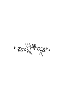 CCc1cc(-c2noc(-c3cc(CC(C)C)c(C)s3)n2)cc(C)c1OCC(O)CN